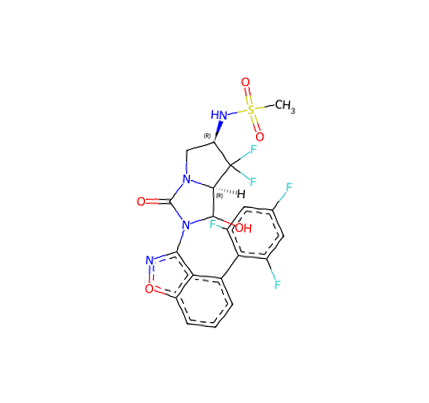 CS(=O)(=O)N[C@@H]1CN2C(=O)N(c3noc4cccc(-c5c(F)cc(F)cc5F)c34)C(O)[C@@H]2C1(F)F